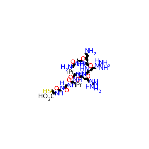 CC(C)[C@H](NC(=O)[C@H](CCCNC(=N)N)NC(=O)[C@H](CCCNC(=N)N)NC(=O)[C@H](CCCCN)NC(=O)[C@H](C)NC(=O)CN)C(=O)N[C@H](C(=O)NCC(=O)NCC(=O)N[C@@H](CS)C(=O)O)C(C)C